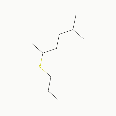 CCCSC(C)CCC(C)C